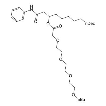 CCCCCCCCCCCCCCCC(CC(=O)Nc1ccccc1)OC(=O)COCCOCCOCCOCCCC